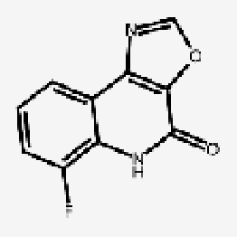 O=c1[nH]c2c(F)cccc2c2ncoc12